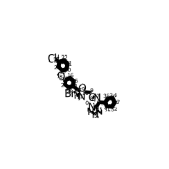 Cn1nnnc1/C(=N\OCc1nnc(-c2ccc(Oc3cccc(Cl)c3)cc2Br)o1)c1ccccc1